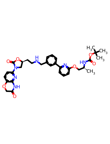 C[C@H](COc1cccc(-c2cccc(CNCC[C@H]3CN(c4ccc5c(n4)NC(=O)CO5)C(=O)O3)c2)n1)NC(=O)OC(C)(C)C